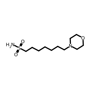 NS(=O)(=O)CCCCCCCN1CCOCC1